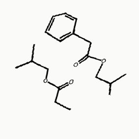 CC(C)COC(=O)Cc1ccccc1.CCC(=O)OCC(C)C